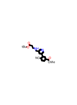 COC(=O)c1ccc(C#N)c(-c2cncc(CNCCC(=O)OC(C)(C)C)c2)c1